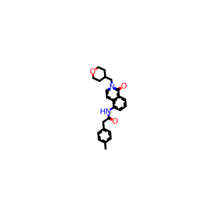 Cc1ccc(CC(=O)Nc2cccc3c(=O)n(CC4CCOCC4)ccc23)cc1